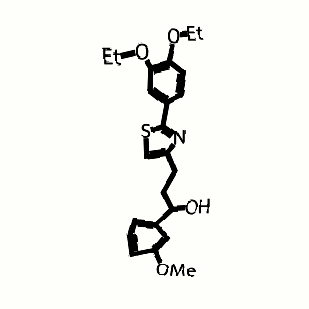 CCOc1ccc(-c2nc(CCC(O)c3cccc(OC)c3)cs2)cc1OCC